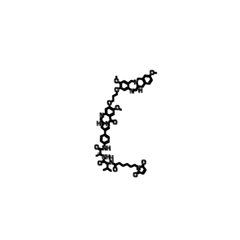 COc1ccc2c(c1)CN1Cc3cc(OC)c(OCCCOc4cc5c(cc4OC)C(=O)N4C=C(c6ccc(NC(=O)[C@H](C)NC(=O)[C@@H](NC(=O)CCCCCN7C(=O)C=CC7=O)C(C)C)cc6)C[C@H]4C=N5)cc3N=C[C@@H]1C2